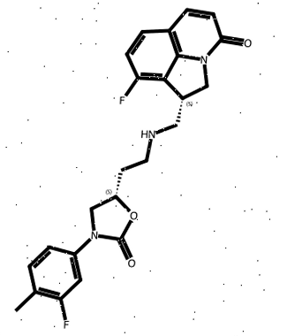 Cc1ccc(N2C[C@H](CCNC[C@H]3Cn4c(=O)ccc5ccc(F)c3c54)OC2=O)cc1F